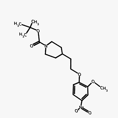 COc1cc([N+](=O)[O-])ccc1OCCC1CCN(C(=O)OC(C)(C)C)CC1